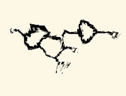 N#Cc1ccc(CN2c3ccc(Cl)cc3CC(C(=O)O)C2C(F)(F)F)cc1